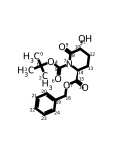 CC(C)(C)OC(=O)N1C(=O)[C@H](O)CC[C@H]1C(=O)OCc1ccccc1